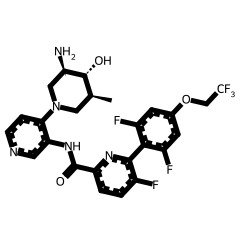 C[C@H]1CN(c2ccncc2NC(=O)c2ccc(F)c(-c3c(F)cc(OCC(F)(F)F)cc3F)n2)C[C@@H](N)[C@@H]1O